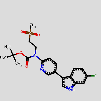 CC(C)(C)OC(=O)N(CCS(C)(=O)=O)c1ccc(-c2c[nH]c3cc(F)ccc23)cn1